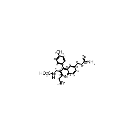 Cc1ccc(-c2c(CNC(=O)O)c(CC(C)C)nc3ccc(CCC(N)=O)cc23)cc1